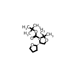 CC(C)(C)OC(=O)N1[C@@H](C2CCCO2)COC1(C)C